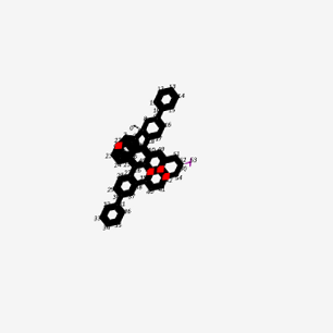 C[C@]1(c2ccccc2)CC(c2ccccc2)=CC=C1c1c2ccccc2c(-c2ccc(-c3ccccc3)cc2-c2ccccc2)c2cc3c(cc12)=C[C@H](I)CC=3